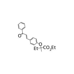 CCOC(=O)C(C)(CC)Oc1ccc(C=CC(=O)c2ccccc2)cc1